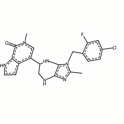 Cc1nc2c(n1Cc1ccc(Cl)cc1F)NC(c1cn(C)c(=O)c3[nH]ccc13)CN2